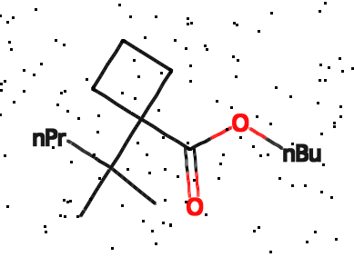 CCCCOC(=O)C1(C(C)(C)CCC)CCC1